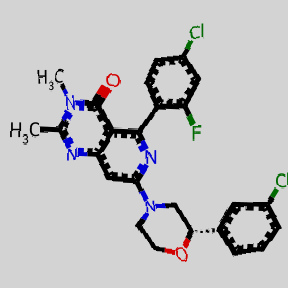 Cc1nc2cc(N3CCO[C@@H](c4cccc(Cl)c4)C3)nc(-c3ccc(Cl)cc3F)c2c(=O)n1C